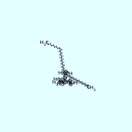 CCCCCCCC/C=C\CCCCCCCCCCCCCC(=O)NC(COC(OC(CO)[C@@H](C)O)[C@@H](O)COS(=O)(=O)O)[C@H](O)/C=C/CCCCCCCCCCCCC